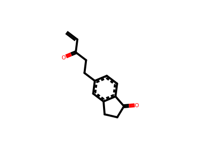 C=CC(=O)CCc1ccc2c(c1)CCC2=O